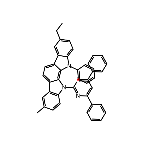 CCc1ccc2c(c1)c1ccc3c4cc(C)ccc4n(-c4nc(-c5ccccc5)cc(-c5ccccc5)n4)c3c1n2-c1ccccc1